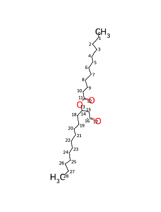 CCCCCCCCCCCC(=O)OC(C[C]=O)CCCCCCCCCCC